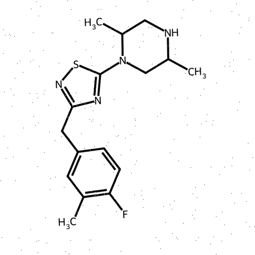 Cc1cc(Cc2nsc(N3CC(C)NCC3C)n2)ccc1F